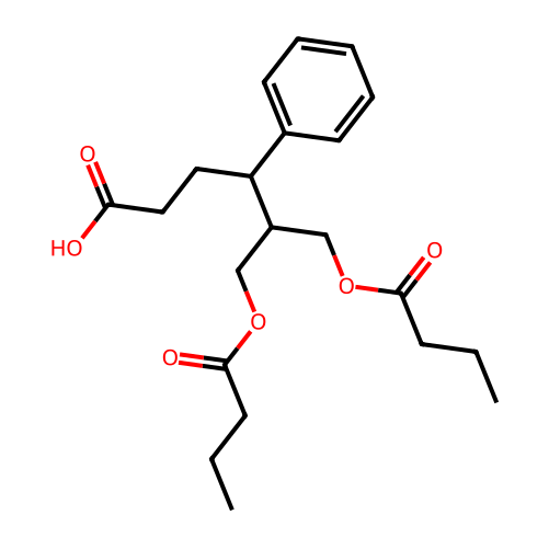 CCCC(=O)OCC(COC(=O)CCC)C(CCC(=O)O)c1ccccc1